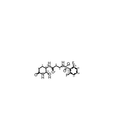 O=C1CCC(NC(=O)CCNS(=O)(=O)c2c(F)cccc2F)C(O)N1